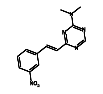 CN(C)c1ncnc(C=Cc2cccc([N+](=O)[O-])c2)n1